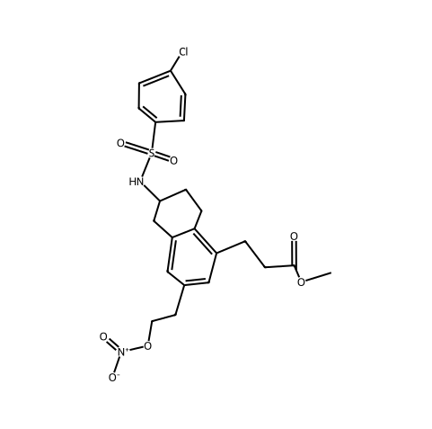 COC(=O)CCc1cc(CCO[N+](=O)[O-])cc2c1CCC(NS(=O)(=O)c1ccc(Cl)cc1)C2